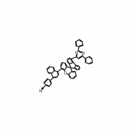 N#Cc1ccc(-c2ccc(-c3cccc4c3Oc3ccccc3C43c4ccccc4-c4c(-c5cc(-c6ccccc6)nc(-c6ccccc6)n5)cccc43)c3ccccc23)cc1